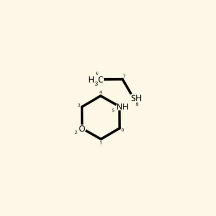 C1COCCN1.CCS